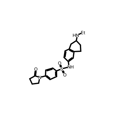 CCNC1CCc2cc(NS(=O)(=O)c3ccc(N4CCCC4=O)cc3)ccc2C1